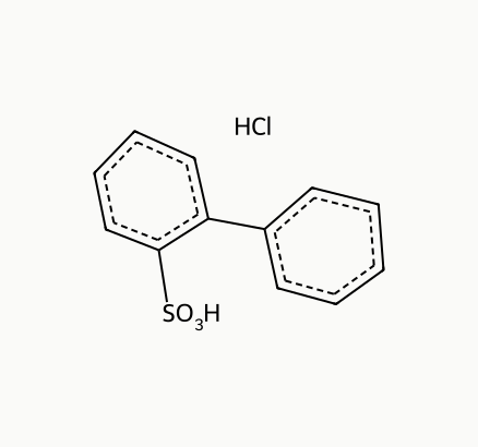 Cl.O=S(=O)(O)c1ccccc1-c1ccccc1